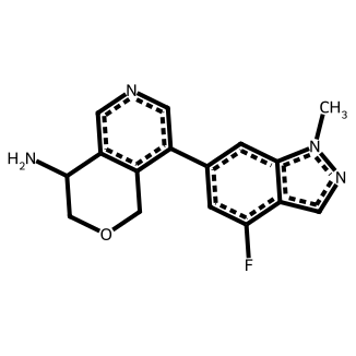 Cn1ncc2c(F)cc(-c3cncc4c3COCC4N)cc21